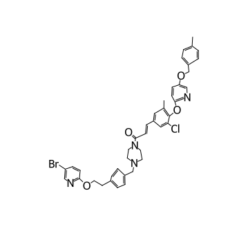 Cc1ccc(COc2ccc(Oc3c(C)cc(/C=C/C(=O)N4CCN(Cc5ccc(CCOc6ccc(Br)cn6)cc5)CC4)cc3Cl)nc2)cc1